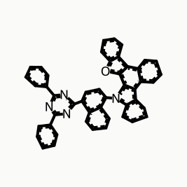 c1ccc(-c2nc(-c3ccccc3)nc(-c3ccc(-n4c5ccccc5c5c6ccccc6c6c7ccccc7oc6c54)c4ccccc34)n2)cc1